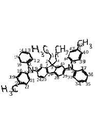 CCCC1(CCC)c2cc(N(c3ccccc3)c3ccc(C)cc3)ccc2-c2ccc(N(c3ccccc3)c3ccc(C)cc3)cc21